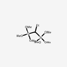 [CH2]CC([Si](OC)(OC)OC)[Si](OC)(OC)OC